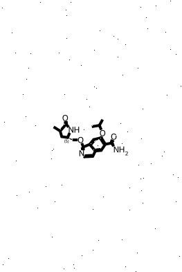 CC(C)Oc1cc2c(OC[C@@H]3CC(C)C(=O)N3)nccc2cc1C(N)=O